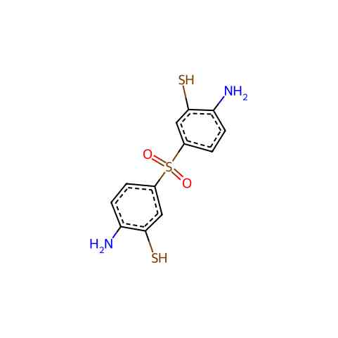 Nc1ccc(S(=O)(=O)c2ccc(N)c(S)c2)cc1S